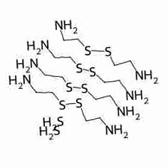 NCCSSCCN.NCCSSCCN.NCCSSCCN.NCCSSCCN.S.S